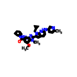 COc1cc(C(=O)N2CC3CCC2C3N)cc2nc(-c3cc4ccc(Nc5ccc(C)nc5)nc4n3CC3CC3)n(C)c12